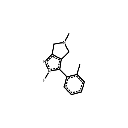 Cc1ccccc1-c1c2c(nn1F)CN(C)C2